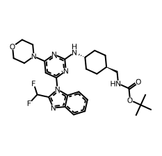 CC(C)(C)OC(=O)NC[C@H]1CC[C@H](Nc2nc(N3CCOCC3)cc(-n3c(C(F)F)nc4ccccc43)n2)CC1